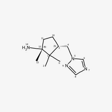 CC1(C)[C@@H](Cn2cncn2)CC[C@@]1(C)N